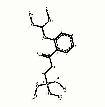 CCOC(OCC)Oc1ccccc1C(=O)CC[Si](OCC)(OCC)OCC